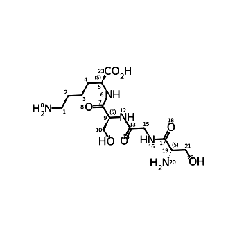 NCCCC[C@H](NC(=O)[C@H](CO)NC(=O)CNC(=O)[C@@H](N)CO)C(=O)O